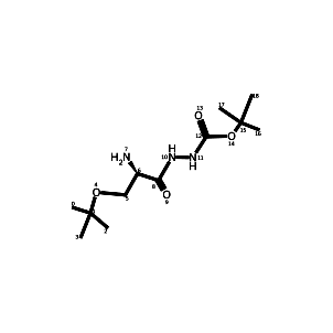 CC(C)(C)OC[C@@H](N)C(=O)NNC(=O)OC(C)(C)C